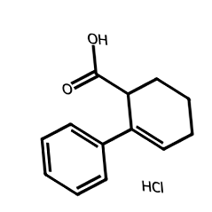 Cl.O=C(O)C1CCCC=C1c1ccccc1